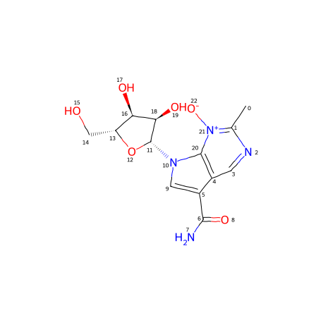 Cc1ncc2c(C(N)=O)cn([C@@H]3O[C@H](CO)[C@@H](O)[C@H]3O)c2[n+]1[O-]